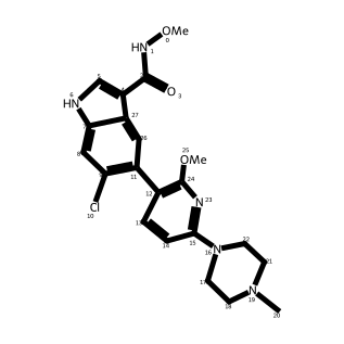 CONC(=O)c1c[nH]c2cc(Cl)c(-c3ccc(N4CCN(C)CC4)nc3OC)cc12